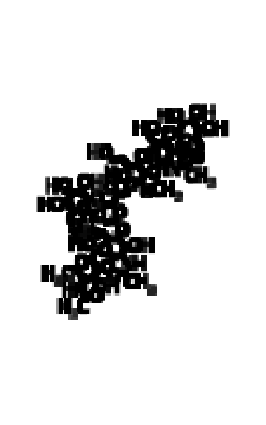 CO[C@H](OC[C@H](O)C(CO[C@H]1OC(CO)[C@@H](O)C(O)C1O)O[C@H](CO)O[C@@H]1C(CO)O[C@@H](O[C@@H]2C(CO)O[C@@H](C)C(NC(C)=O)C2O)C(NC(C)=O)C1O)C(O[C@@H]1OC(CO)[C@@H](O[C@@H]2OC(CO)[C@H](O)C(O)C2O)C(O)C1NC(C)=O)C(O)[C@H](O)CCO